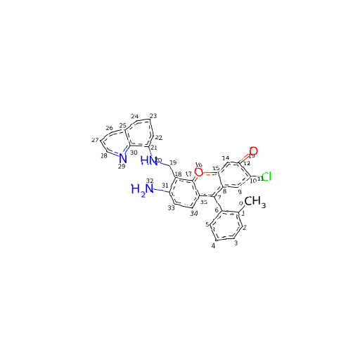 Cc1ccccc1-c1c2cc(Cl)c(=O)cc-2oc2c(CNc3cccc4cccnc34)c(N)ccc12